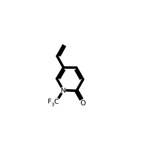 C=Cc1ccc(=O)n(C(F)(F)F)c1